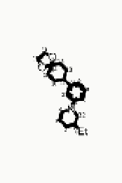 CCC1CCCN(c2cccc(C3CCC4(CC3)OCCO4)c2)C1